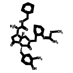 CS/C(N)=N\c1ccccc1CN1C[C@H]2N(C(=O)CN2N(C)C(=O)NCc2ccccc2)[C@@H](Cc2ccc(O)c(N)c2)C1=O